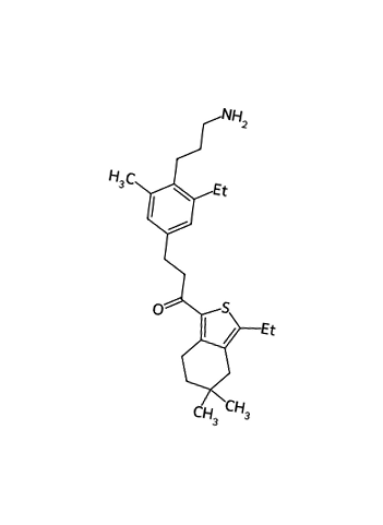 CCc1cc(CCC(=O)c2sc(CC)c3c2CCC(C)(C)C3)cc(C)c1CCCN